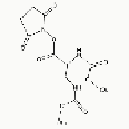 CC(C)(C)OC(=O)NCC(NC(=O)OC(C)(C)C)C(=O)ON1C(=O)CCC1=O